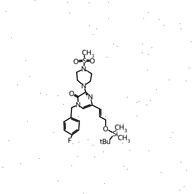 CC(C)(C)[Si](C)(C)OCC=Cc1cn(Cc2ccc(F)cc2)c(=O)c(N2CCN(S(C)(=O)=O)CC2)n1